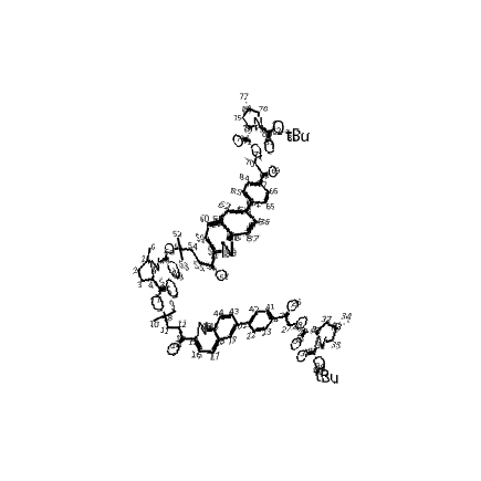 CC1CCC(C(=O)OC(C)(C)CCC(=O)c2ccc3cc(-c4ccc(C(=O)COC(=O)[C@@H]5C[C@H](C)CN5C(=O)OC(C)(C)C)cc4)ccc3n2)N1C(=O)OC(C)(C)CCC(=O)c1ccc2cc(-c3ccc(C(=O)COC(=O)[C@@H]4C[C@H](C)CN4C(=O)OC(C)(C)C)cc3)ccc2n1